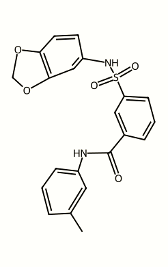 Cc1cccc(NC(=O)c2cccc(S(=O)(=O)Nc3ccc4c(c3)OCO4)c2)c1